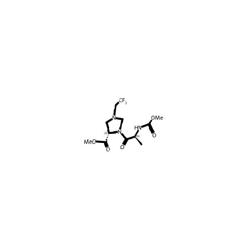 COC(=O)N[C@@H](C)C(=O)N1CN(CC(F)(F)F)C[C@H]1C(=O)OC